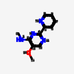 CNc1nc(-c2ccccn2)ncc1OC